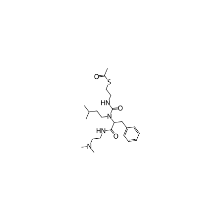 CC(=O)SCCNC(=O)N(CCC(C)C)C(Cc1ccccc1)C(=O)NCCN(C)C